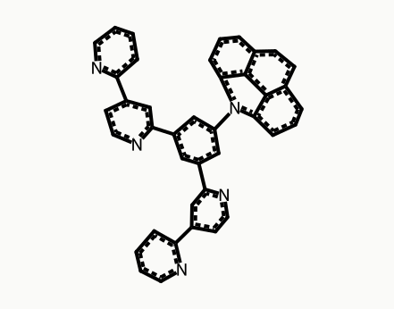 c1ccc(-c2ccnc(-c3cc(-c4cc(-c5ccccn5)ccn4)cc(-n4c5cccc6ccc7cccc4c7c65)c3)c2)nc1